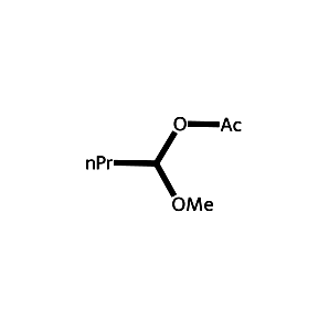 CCCC(OC)OC(C)=O